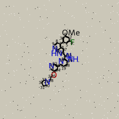 COc1cc(F)cc(-c2ccnc3[nH]c(-c4n[nH]c5ccc(-c6cncc(OCCN7CCCC7)c6)nc45)cc23)c1